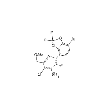 COCc1nc(-c2ccc(Br)c3c2OC(F)(F)O3)c(F)c(N)c1Cl